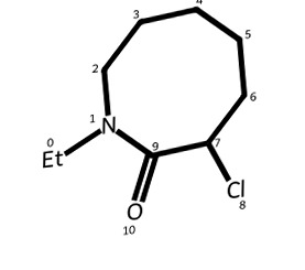 CCN1CCCCCC(Cl)C1=O